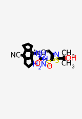 COCc1nc(C(C)(C)O)sc1S(N)(=O)=NC(=O)Nc1c2c(c(C#N)c3c1CCC3)CCC2